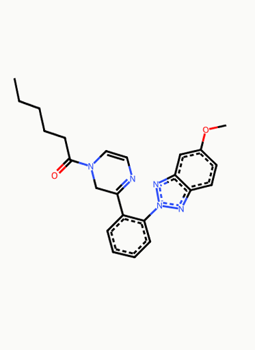 CCCCCC(=O)N1C=CN=C(c2ccccc2-n2nc3ccc(OC)cc3n2)C1